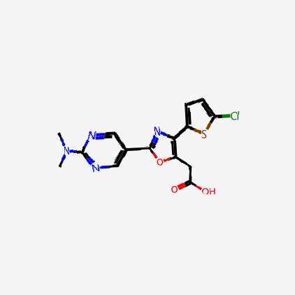 CN(C)c1ncc(-c2nc(-c3ccc(Cl)s3)c(CC(=O)O)o2)cn1